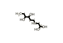 CCC(O)C(O)CCNCC(O)O